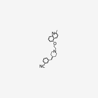 Cc1ccc2c(OCCN3CCC(=Cc4cccc(C#N)c4)CC3)cccc2n1